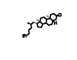 CC(C)CCC[C@@H](C)C[C@H]1CCC2C3CC[C@H]4CC(=O)CC[C@]4(C)C3CC[C@@]21C